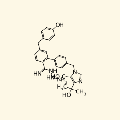 CC(C)(O)c1ncn(Cc2ccc(-c3cc(Cc4ccc(O)cc4)ccc3C(=N)NNN)cc2)c1C(=O)O